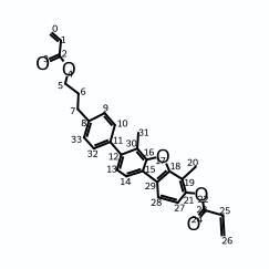 C=CC(=O)OCCCc1ccc(-c2ccc3c(oc4c(C)c(OC(=O)C=C)ccc43)c2C)cc1